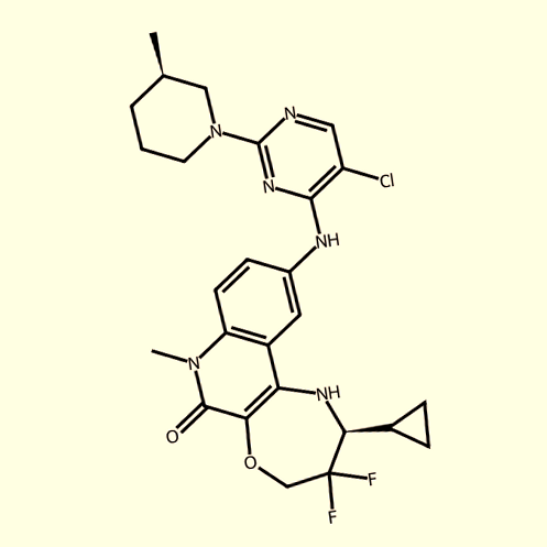 C[C@@H]1CCCN(c2ncc(Cl)c(Nc3ccc4c(c3)c3c(c(=O)n4C)OCC(F)(F)[C@H](C4CC4)N3)n2)C1